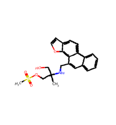 CC(CO)(COS(C)(=O)=O)NCc1cc2ccccc2c2ccc3ccoc3c12